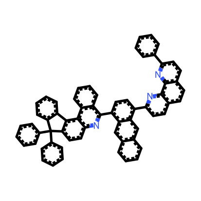 c1ccc(-c2ccc3ccc4ccc(-c5ccc(-c6nc7ccc8c(c7c7ccccc67)-c6ccccc6C8(c6ccccc6)c6ccccc6)c6cc7ccccc7cc56)nc4c3n2)cc1